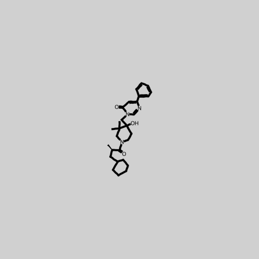 C[C@H](CC1CCCCC1)C(=O)N1CCC(O)(Cn2cnc(-c3ccccc3)cc2=O)C(C)(C)C1